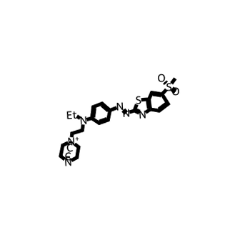 CCN(CC[N+]12CCN(CC1)CC2)c1ccc(N=Nc2nc3ccc(S(C)(=O)=O)cc3s2)cc1